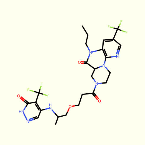 CCCN1C(=O)C2CN(C(=O)CCOCC(C)Nc3cn[nH]c(=O)c3C(F)(F)F)CCN2c2ncc(C(F)(F)F)cc21